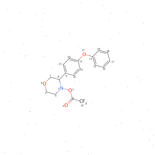 O=C(ON1CCOCC1c1ccc(Oc2ccccc2)cc1)C(F)(F)F